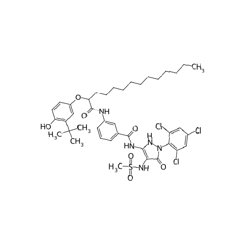 CCCCCCCCCCCCC(Oc1ccc(O)c(C(C)(C)C)c1)C(=O)Nc1cccc(C(=O)Nc2[nH]n(-c3c(Cl)cc(Cl)cc3Cl)c(=O)c2NS(C)(=O)=O)c1